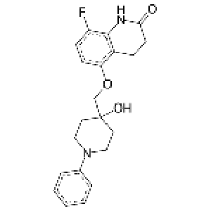 O=C1CCc2c(OCC3(O)CCN(c4ccccc4)CC3)ccc(F)c2N1